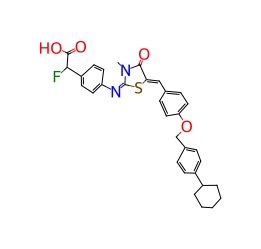 CN1C(=O)/C(=C/c2ccc(OCc3ccc(C4CCCCC4)cc3)cc2)S/C1=N/c1ccc(C(F)C(=O)O)cc1